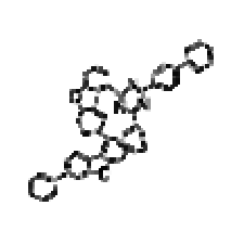 c1ccc(-c2ccc(-c3nc(-c4ccccc4)nc(-c4cccc5oc6ccc(-c7cccc8oc9cc(-c%10ccccc%10)ccc9c78)cc6c45)n3)cc2)cc1